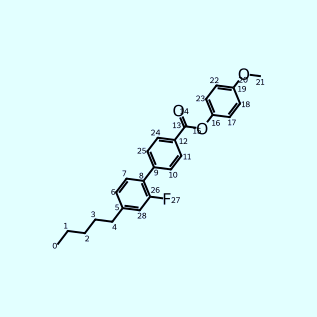 CCCCCc1ccc(-c2ccc(C(=O)Oc3ccc(OC)cc3)cc2)c(F)c1